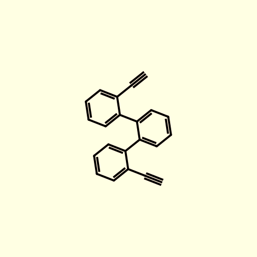 C#Cc1ccccc1-c1ccccc1-c1ccccc1C#C